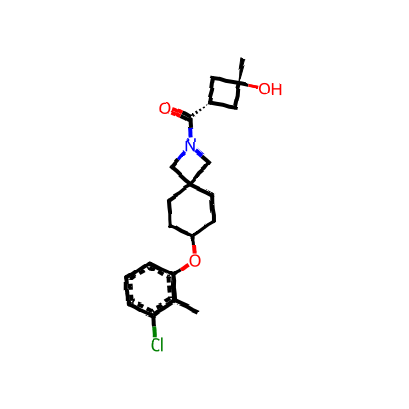 Cc1c(Cl)cccc1OC1CCC2(CC1)CN(C(=O)[C@H]1C[C@@](C)(O)C1)C2